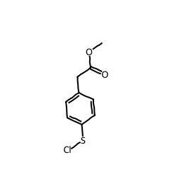 COC(=O)Cc1ccc(SCl)cc1